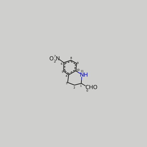 O=CC1CCc2cc([N+](=O)[O-])ccc2N1